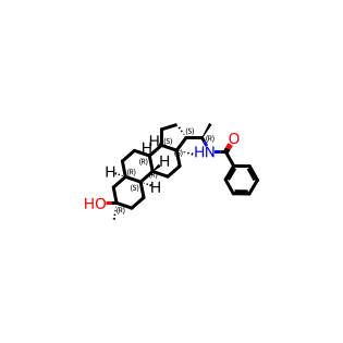 C[C@@H](NC(=O)c1ccccc1)[C@H]1CC[C@H]2[C@@H]3CC[C@@H]4C[C@](C)(O)CC[C@@H]4[C@H]3CC[C@]12C